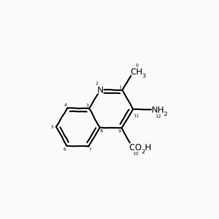 Cc1nc2ccccc2c(C(=O)O)c1N